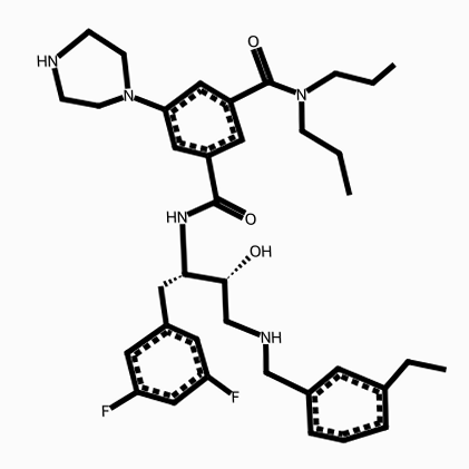 CCCN(CCC)C(=O)c1cc(C(=O)N[C@@H](Cc2cc(F)cc(F)c2)[C@H](O)CNCc2cccc(CC)c2)cc(N2CCNCC2)c1